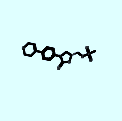 CS(=O)(=O)OC[C@H]1CN(c2ccc(C3=CCOCC3)cc2)C(=O)O1